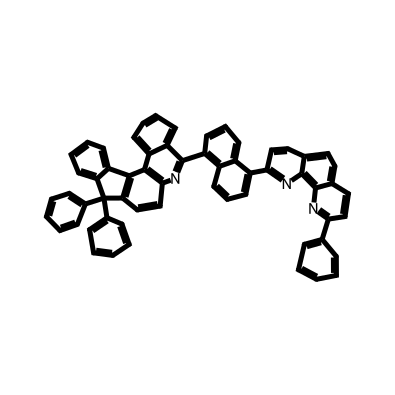 c1ccc(-c2ccc3ccc4ccc(-c5cccc6c(-c7nc8ccc9c(c8c8ccccc78)-c7ccccc7C9(c7ccccc7)c7ccccc7)cccc56)nc4c3n2)cc1